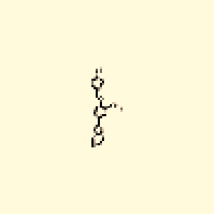 Cc1cc(-c2cn3ccccc3n2)ccc1OCc1ccc(Cl)cc1